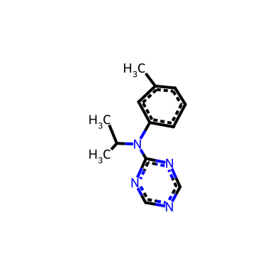 Cc1cccc(N(c2ncncn2)C(C)C)c1